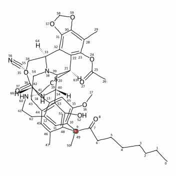 CCCCCCCC(=O)Oc1cc2c(cc1OC)[C@@]1(CS[C@@H]3c4c(OC(C)=O)c(C)c5c(c4[C@H](COC1=O)N1C3[C@H]3N[C@H](Cc4cc(C)c(OC)c(O)c43)[C@@H]1C#N)OCO5)NCC2